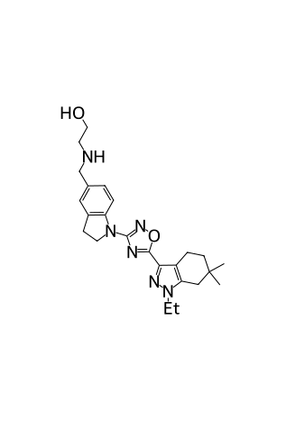 CCn1nc(-c2nc(N3CCc4cc(CNCCO)ccc43)no2)c2c1CC(C)(C)CC2